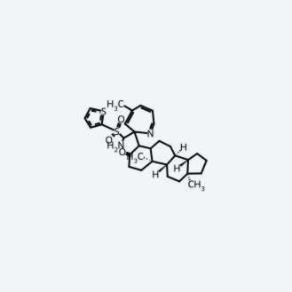 CC1=CC(C2C(=O)CC[C@@]3(C)C2CC[C@H]2[C@@H]4CCC[C@@]4(C)CC[C@@H]23)(C(N)S(=O)(=O)c2cccs2)N=CC=C1